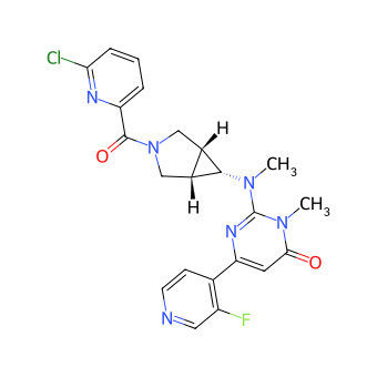 CN(c1nc(-c2ccncc2F)cc(=O)n1C)[C@@H]1[C@@H]2CN(C(=O)c3cccc(Cl)n3)C[C@@H]21